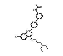 CCN(CC)CCCNc1nc(-c2ccc(-c3cccc(NC(C)=O)c3)cc2)nc2cc(Cl)ccc12